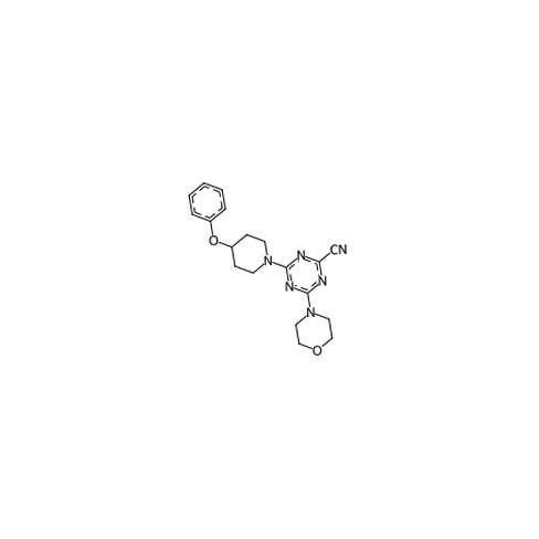 N#Cc1nc(N2CCOCC2)nc(N2CCC(Oc3ccccc3)CC2)n1